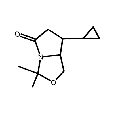 CC1(C)OCC2C(C3CC3)CC(=O)N21